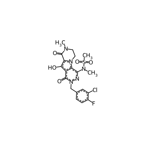 CN1CCn2c(c(O)c3c(=O)n(Cc4ccc(F)c(Cl)c4)nc(N(C)S(C)(=O)=O)c32)C1=O